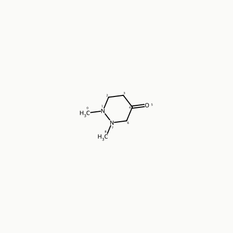 CN1CCC(=O)CN1C